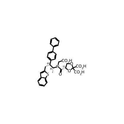 C[C@H]([C@H](Cc1cc2ccccc2s1)c1ccc(-c2ccccc2)cc1)N(CC(=O)O)C(=O)[C@@H]1COC(C(=O)O)(C(=O)O)O1